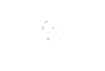 O=C(CN1C/C=C\C=C/C/N=C\1NCCO)N1CCOCC1